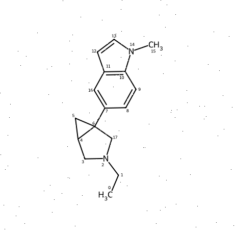 CCN1CC2CC2(c2ccc3c(ccn3C)c2)C1